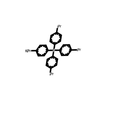 CC(C)c1ccc([B-](c2ccc(C(C)C)cc2)(c2ccc(C(C)C)cc2)c2ccc(C(C)C)cc2)cc1.[K+]